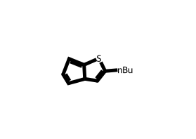 CCCCC1=CC2C=CC=C2S1